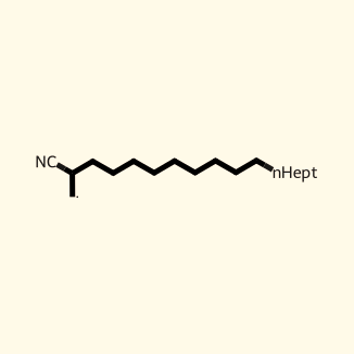 [CH2]C(C#N)CCCCCCCCCCCCCCCC